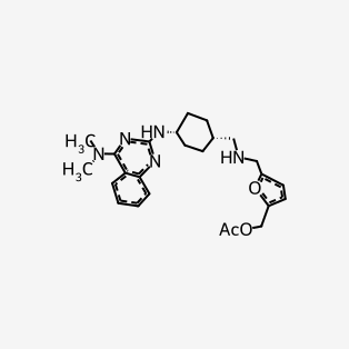 CC(=O)OCc1ccc(CNC[C@H]2CC[C@@H](Nc3nc(N(C)C)c4ccccc4n3)CC2)o1